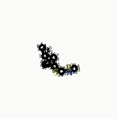 C[Si]1(C)c2ccccc2-c2ccc3c(c21)-c1cccc(-c2ccc4sc5ccc(-c6nc7ccccc7s6)cc5c4c2)c1C31C2CC3CC(C2)CC1C3